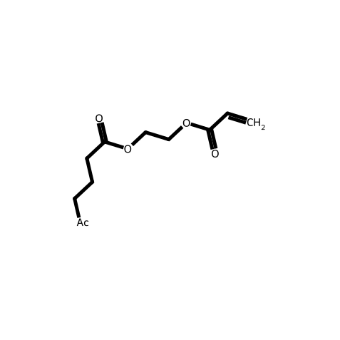 C=CC(=O)OCCOC(=O)CCCC(C)=O